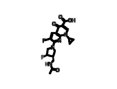 CC(=O)NC[C@@H]1CN(c2nc3c(cc2F)c(=O)c(C(=O)O)cn3C2CC2)C[C@@H]1F